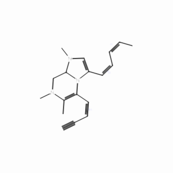 C#C/C=C\C1=C(C)N(C)CC2N(C)C=C(/C=C\C=C/C)N12